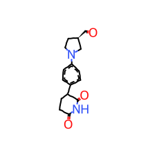 O=C[C@@H]1CCN(c2ccc(C3CCC(=O)NC3=O)cc2)C1